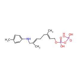 CC(=CCOP(=O)(O)OP(=O)(O)O)CCC=C(C)CNc1ccc(C)cc1